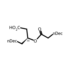 CCCCCCCCCCCC(=O)O[C@@H](CCCCCCCCCCC)CC(=O)O